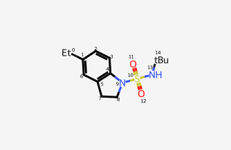 CCc1ccc2c(c1)CCN2S(=O)(=O)NC(C)(C)C